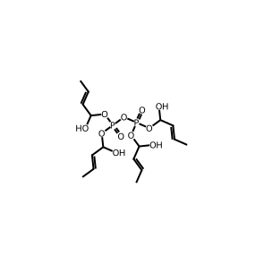 C/C=C/C(O)OP(=O)(OC(O)/C=C/C)OP(=O)(OC(O)/C=C/C)OC(O)/C=C/C